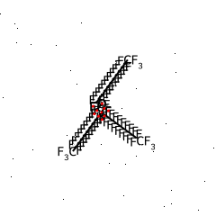 O=P(C(F)(F)C(F)(F)C(F)(F)C(F)(F)C(F)(F)C(F)(F)C(F)(F)C(F)(F)C(F)(F)C(F)(F)C(F)(F)C(F)(F)F)(C(F)(F)C(F)(F)C(F)(F)C(F)(F)C(F)(F)C(F)(F)C(F)(F)C(F)(F)C(F)(F)C(F)(F)C(F)(F)C(F)(F)F)C(F)(F)C(F)(F)C(F)(F)C(F)(F)C(F)(F)C(F)(F)C(F)(F)C(F)(F)C(F)(F)C(F)(F)C(F)(F)C(F)(F)F